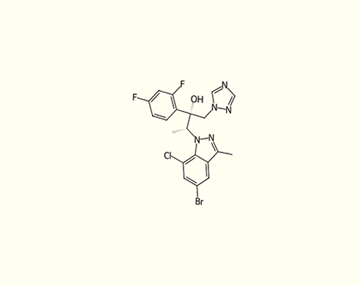 Cc1nn([C@H](C)[C@](O)(Cn2cncn2)c2ccc(F)cc2F)c2c(Cl)cc(Br)cc12